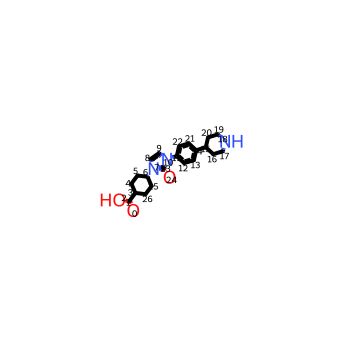 O=C(O)C1CCC(n2ccn(-c3ccc(C4CCNCC4)cc3)c2=O)CC1